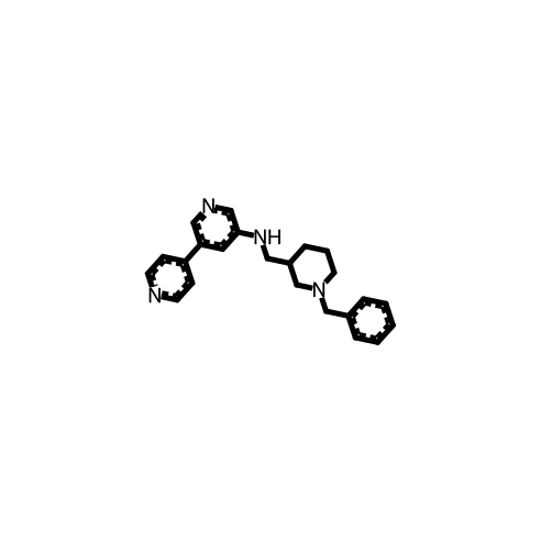 c1ccc(CN2CCCC(CNc3cncc(-c4ccncc4)c3)C2)cc1